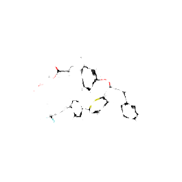 Cc1cc(OC(Cc2ccccc2)c2ccc(-c3ccc(C(F)(F)F)cc3)s2)ccc1CCC(=O)O